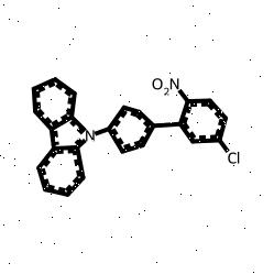 O=[N+]([O-])c1ccc(Cl)cc1-c1ccc(-n2c3ccccc3c3ccccc32)cc1